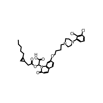 CCCCCC1=CC1CC(=O)OC(C(=O)O)n1c(=O)ccc2ccc(OCCCCN3CCN(c4cccc(Cl)c4Cl)CC3)cc21